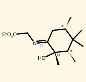 CCOC(=O)C/N=C1\C[C@H](C)C(C)(C)[C@H](C)[C@]1(C)O